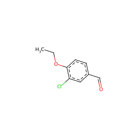 CCOc1ccc([C]=O)cc1Cl